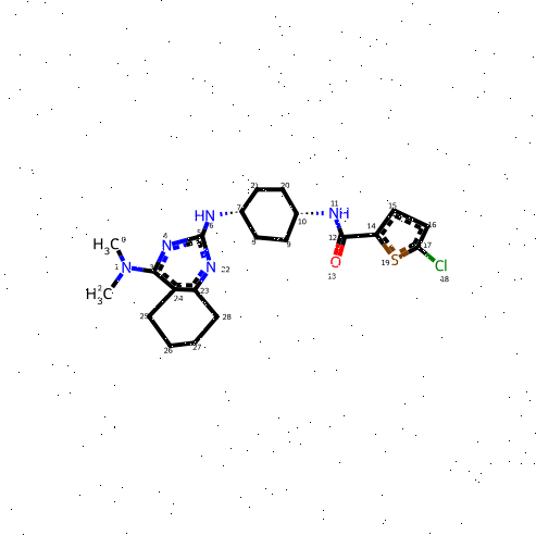 CN(C)c1nc(N[C@H]2CC[C@@H](NC(=O)c3ccc(Cl)s3)CC2)nc2c1CCCC2